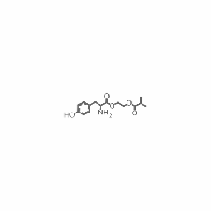 C=C(C)C(=O)OCCOC(=O)[C@@H](N)Cc1ccc(O)cc1